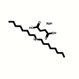 CCCCCCCCPCCCCCCCC.O=C(O)CCC(=O)O.[NaH]